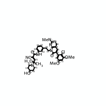 CNc1ncc2cc(-c3cc(OC)cc(OC)c3Cl)c(=O)n(CCc3cccc(NC(=O)C(C#N)=CC(C)(C)N4CCC(O)CC4)c3)c2n1